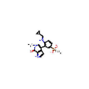 Cn1cc(-c2cc(S(C)(=O)=O)ccc2NCC2CC2)c2cc[nH]c2c1=O